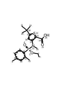 CCOP(=O)(c1ccc(C)cc1C)N(C)c1cc(C(C)(C)C)sc1C(=O)O